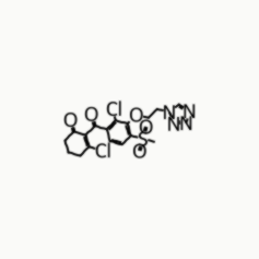 CS(=O)(=O)c1ccc(C(=O)C2=C(Cl)CCCC2=O)c(Cl)c1OCCn1cnnn1